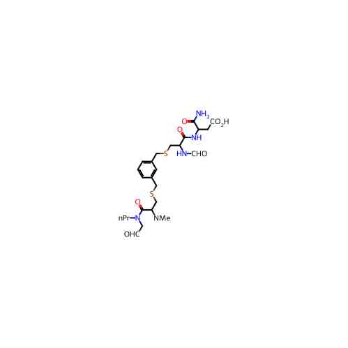 CCCN(CC=O)C(=O)C(CSCc1cccc(CSCC(NC=O)C(=O)NC(CC(=O)O)C(N)=O)c1)NC